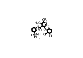 Cc1c(C(F)(F)F)nnc(Oc2c(F)ccc(Cl)c2Cl)c1C(=O)Nc1cccc(S(C)(=N)=O)c1